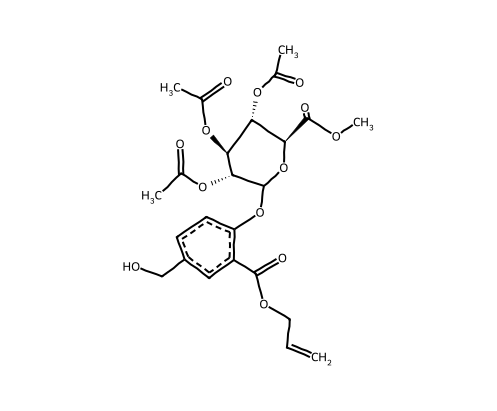 C=CCOC(=O)c1cc(CO)ccc1OC1O[C@H](C(=O)OC)[C@@H](OC(C)=O)[C@H](OC(C)=O)[C@H]1OC(C)=O